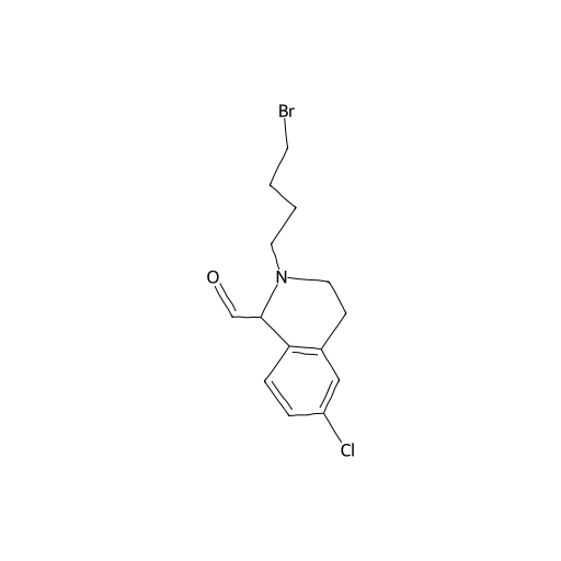 O=CC1c2ccc(Cl)cc2CCN1CCCCBr